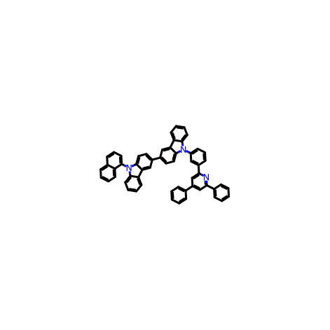 c1ccc(-c2cc(-c3ccccc3)nc(-c3cccc(-n4c5ccccc5c5cc(-c6ccc7c(c6)c6ccccc6n7-c6cccc7ccccc67)ccc54)c3)c2)cc1